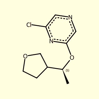 C[C@H](Oc1cncc(Cl)n1)C1CCOC1